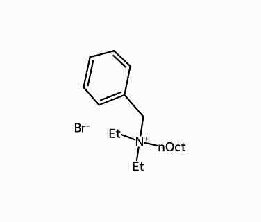 CCCCCCCC[N+](CC)(CC)Cc1ccccc1.[Br-]